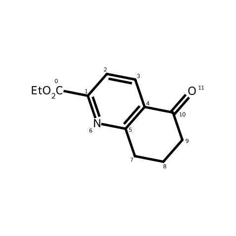 CCOC(=O)c1ccc2c(n1)CCCC2=O